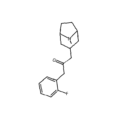 CN1C2CCC1CC(CC(=O)Cc1ccccc1F)C2